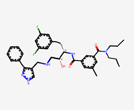 CCCN(CCC)C(=O)c1cc(C)cc(C(=O)N[C@@H](Cc2cc(F)cc(F)c2)[C@H](O)CNCc2c[nH]nc2-c2ccccc2)c1